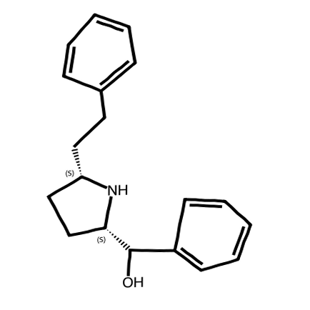 OC(c1ccccc1)[C@@H]1CC[C@H](CCc2ccccc2)N1